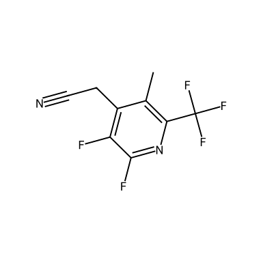 Cc1c(C(F)(F)F)nc(F)c(F)c1CC#N